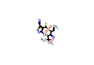 C=CC(C1=NOC(C)(C)C1)S(=O)(=O)C(F)c1c(C)nsc1C#N